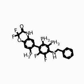 O=C1Nc2cc(-c3c(F)c(F)c(NCc4ccccc4)c(P)c3P)c(P)cc2OC1(F)F